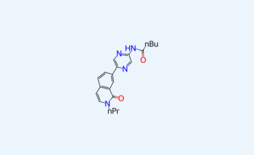 CCCCC(=O)Nc1cnc(-c2ccc3ccn(CCC)c(=O)c3c2)cn1